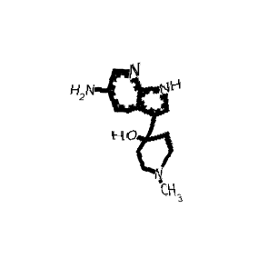 CN1CCC(O)(c2c[nH]c3ncc(N)cc23)CC1